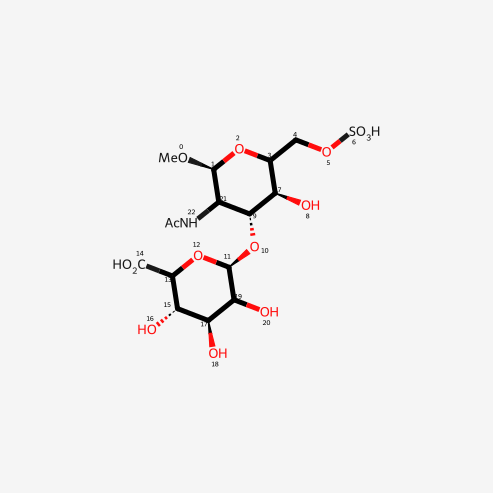 CO[C@H]1OC(COS(=O)(=O)O)[C@@H](O)[C@H](O[C@@H]2OC(C(=O)O)[C@@H](O)[C@H](O)C2O)C1NC(C)=O